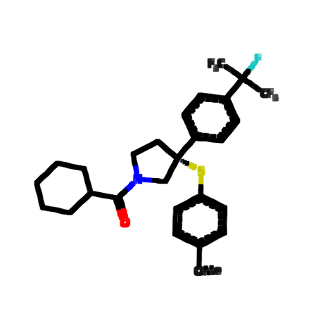 COc1ccc(S[C@@]2(c3ccc(C(F)(C(F)(F)F)C(F)(F)F)cc3)CCN(C(=O)C3CCCCC3)C2)cc1